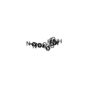 N#Cc1ccc(N2CCN(C(=O)C[C@@H]3CCC[C@@H](COc4cn[nH]c(=O)c4C(F)(F)F)O3)CC2)nc1